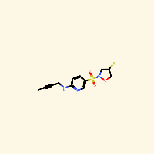 CC#CCNc1ccc(S(=O)(=O)N2CC(S)CO2)cn1